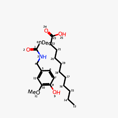 CCCCCCCCCCC(=O)NCc1ccc(O)c(OC)c1.CCCCCCCCCCC(=O)O